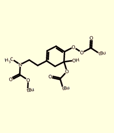 CN(CCC1=CC=C(OOC(=O)C(C)(C)C)C(O)(OC(=O)C(C)(C)C)C1)C(=O)OC(C)(C)C